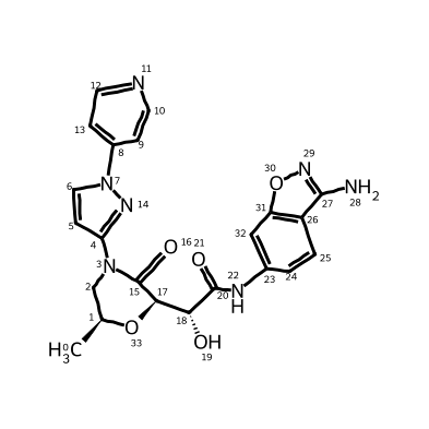 C[C@H]1CN(c2ccn(-c3ccncc3)n2)C(=O)[C@@H]([C@@H](O)C(=O)Nc2ccc3c(N)noc3c2)O1